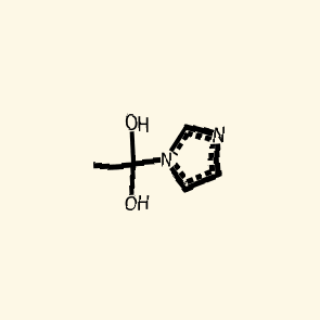 CC(O)(O)n1ccnc1